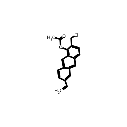 C=Cc1ccc2cc3c(OC(C)=O)c(CCl)ccc3cc2c1